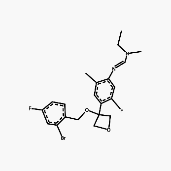 CCN(C)C=Nc1cc(F)c(C2(OCc3ccc(F)cc3Br)COC2)cc1C